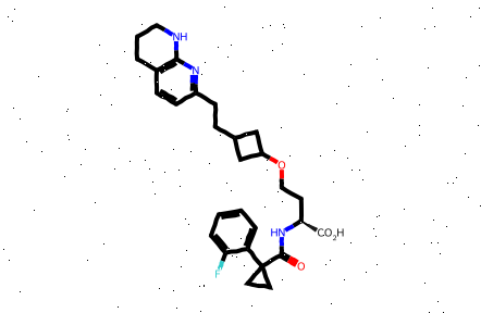 O=C(O)[C@H](CCOC1CC(CCc2ccc3c(n2)NCCC3)C1)NC(=O)C1(c2ccccc2F)CC1